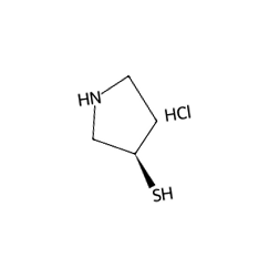 Cl.S[C@@H]1CCNC1